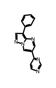 c1ccc(-c2cnn3cc(-c4ccncn4)cnc23)cc1